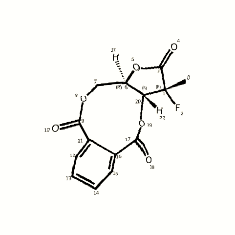 C[C@]1(F)C(=O)O[C@@H]2COC(=O)c3ccccc3C(=O)O[C@H]21